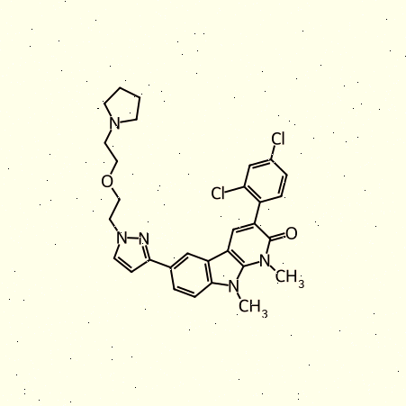 Cn1c(=O)c(-c2ccc(Cl)cc2Cl)cc2c3cc(-c4ccn(CCOCCN5CCCC5)n4)ccc3n(C)c21